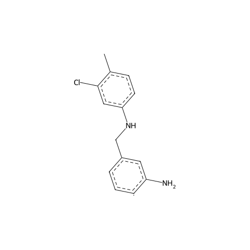 Cc1ccc(NCc2cc[c]c(N)c2)cc1Cl